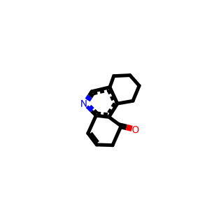 O=C1CC=Cc2ncc3c(c21)CCCC3